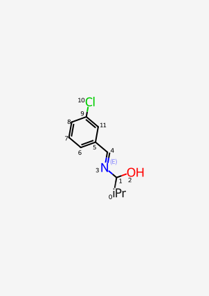 CC(C)C(O)/N=C/c1cccc(Cl)c1